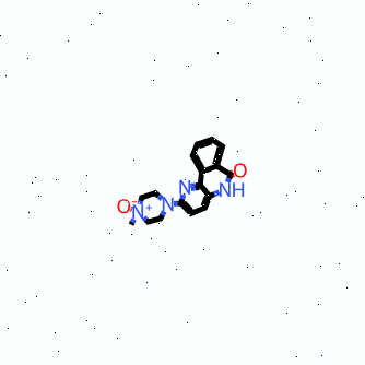 C[N+]1([O-])CCN(c2ccc3[nH]c(=O)c4ccccc4c3n2)CC1